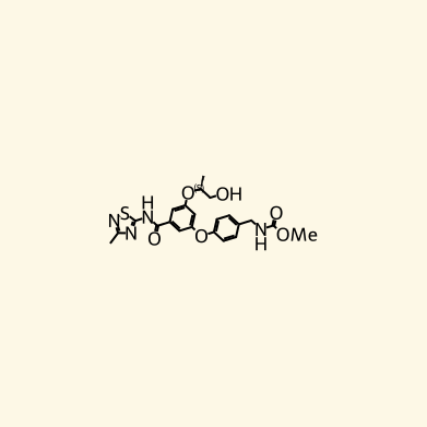 COC(=O)NCc1ccc(Oc2cc(O[C@@H](C)CO)cc(C(=O)Nc3nc(C)ns3)c2)cc1